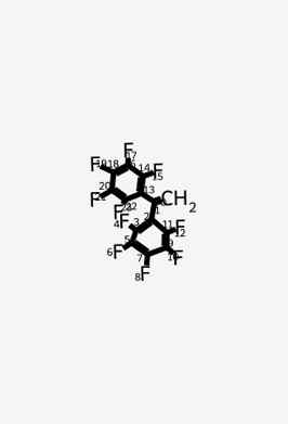 C=C(c1c(F)c(F)c(F)c(F)c1F)c1c(F)c(F)c(F)c(F)c1F